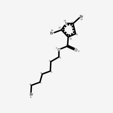 O=C(OCCCCCCBr)c1cc(Br)sc1Br